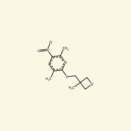 Cc1cc([N+](=O)[O-])c(C)nc1OCC1(C)COC1